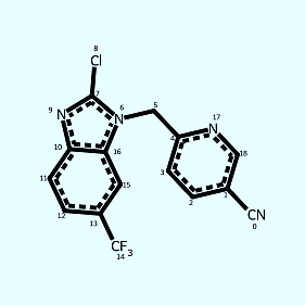 N#Cc1ccc(Cn2c(Cl)nc3ccc(C(F)(F)F)cc32)nc1